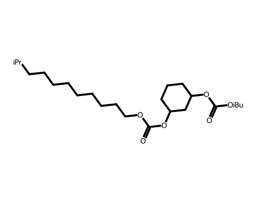 CC(C)CCCCCCCCCOC(=O)OC1CCCC(OC(=O)OCC(C)C)C1